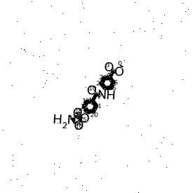 COC(=O)c1ccc(NC(=O)c2ccc(OS(N)(=O)=O)cc2)cc1